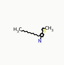 CCCCCCCCCCCCc1cc(-c2ccc(C)s2)ccc1C#N